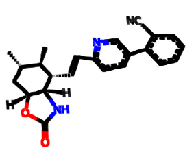 C[C@H]1[C@H](/C=C/c2ccc(-c3ccccc3C#N)cn2)[C@@H]2NC(=O)O[C@@H]2C[C@@H]1C